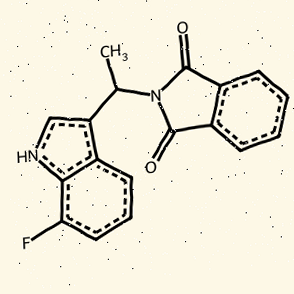 CC(c1c[nH]c2c(F)cccc12)N1C(=O)c2ccccc2C1=O